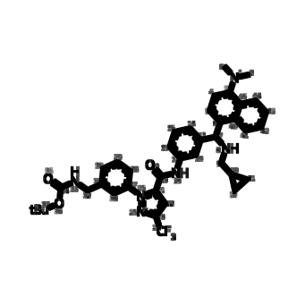 CN(C)c1ccc(C(NCC2CC2)c2cccc(NC(=O)c3cc(C(F)(F)F)nn3-c3cccc(CNC(=O)OC(C)(C)C)c3)c2)c2ccccc12